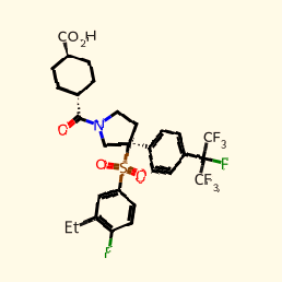 CCc1cc(S(=O)(=O)[C@]2(c3ccc(C(F)(C(F)(F)F)C(F)(F)F)cc3)CCN(C(=O)[C@H]3CC[C@H](C(=O)O)CC3)C2)ccc1F